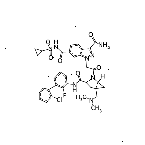 CN(C)C[C@@]12C[C@@H](C(=O)Nc3cccc(-c4ccccc4Cl)c3F)N(C(=O)Cn3nc(C(N)=O)c4ccc(C(=O)NS(=O)(=O)C5CC5)cc43)[C@@H]1C2